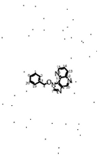 c1ccc(COn2cnc3cnc4cccnc4c32)cc1